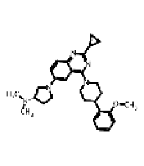 COc1ccccc1C1CCN(c2nc(C3CC3)nc3ccc(N4CC[C@H](N(C)C)C4)cc23)CC1